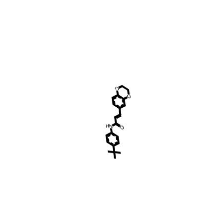 CC(C)(C)c1ccc(NC(=O)/C=C/c2ccc3c(c2)OCCO3)cc1